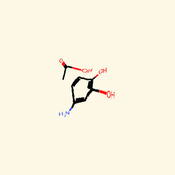 CC(=O)O.Nc1ccc(O)c(O)c1